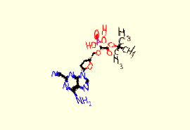 CC(C)(C)OC(=O)[C@H](OC[C@@H]1CC[C@H](n2cnc3c(N)nc(C#N)nc32)O1)P(=O)(O)O